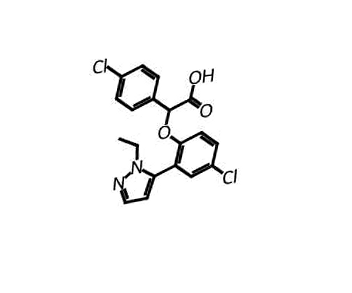 CCn1nccc1-c1cc(Cl)ccc1OC(C(=O)O)c1ccc(Cl)cc1